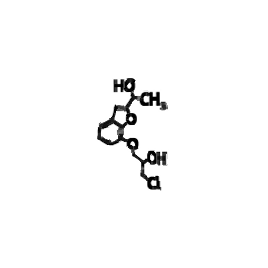 CC(O)c1cc2cccc(OCC(O)CCl)c2o1